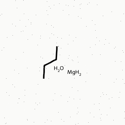 O.[CH2]CCC.[MgH2]